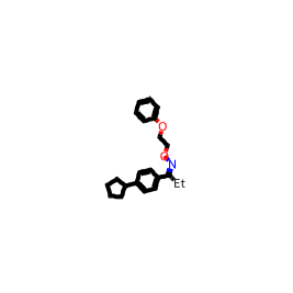 CCC(=NOCCOc1c[c]ccc1)c1ccc(C2CCCC2)cc1